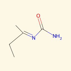 CCC(C)=NC(N)=O